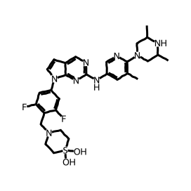 Cc1cc(Nc2ncc3ccn(-c4cc(F)c(CN5CCS(O)(O)CC5)c(F)c4)c3n2)cnc1N1CC(C)NC(C)C1